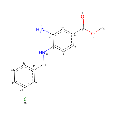 COC(=O)c1ccc(NCc2cccc(Cl)c2)c(N)c1